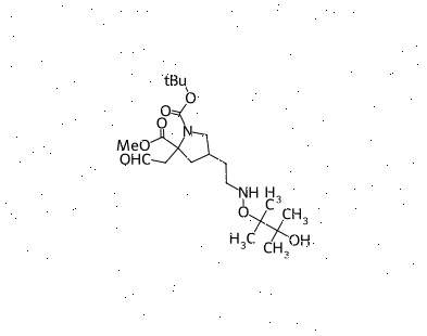 COC(=O)C1(CC=O)CC(CCNOC(C)(C)C(C)(C)O)CN1C(=O)OC(C)(C)C